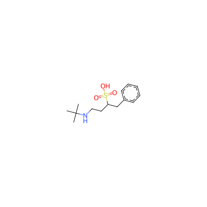 CC(C)(C)NCCC(Cc1ccccc1)S(=O)(=O)O